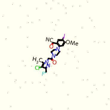 COc1cc(N2CCN(C(=O)Cn3nc(CF)c(Cl)c3C)CC2)c(C(=O)C#N)cc1I